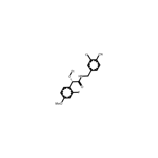 CCO[C@H](C(=O)NCc1ccc(C#N)c(Cl)c1)c1ccc(OC)cc1F